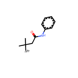 CCCC(C)(C)CC(=O)Nc1ccccc1